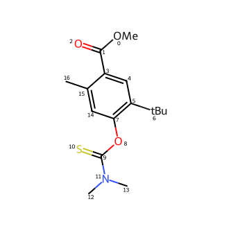 COC(=O)c1cc(C(C)(C)C)c(OC(=S)N(C)C)cc1C